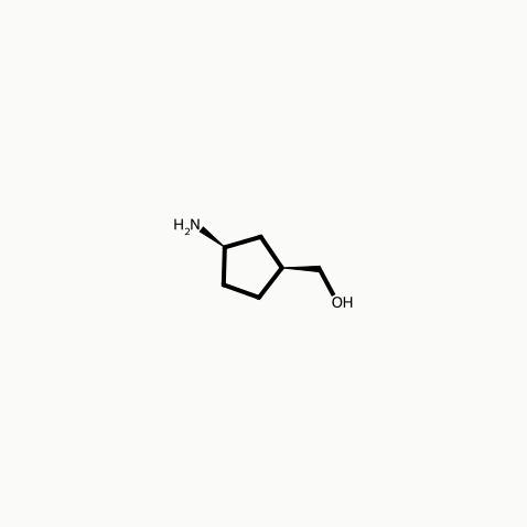 N[C@@H]1CC[C@H](CO)C1